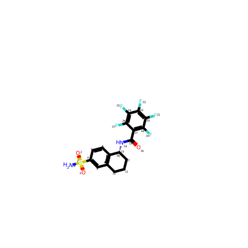 NS(=O)(=O)c1ccc2c(c1)CCC[C@H]2NC(=O)c1c(F)c(F)c(F)c(F)c1F